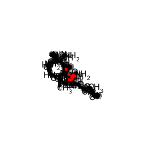 CCCC[C@H](NC(=O)[C@H](CO)NC(=O)[C@H](Cc1c[nH]cn1)NC(=O)[C@H](CCC(N)=O)NC(=O)[C@H](CO)NC(=O)CNC(=O)CCCS(=O)(=O)NC(=O)C(C)c1ccc(C(=O)c2ccccc2)cc1)C(=O)N[C@H]1CCC(=O)NCCCC[C@@H](C(N)=O)NC(=O)[C@H](Cc2c[nH]c3ccccc23)NC(=O)[C@H](CCCNC(=N)N)NC(=O)[C@@H](Cc2ccccc2)NC(=O)[C@@H]2C[C@@H](O)CN2C1=O